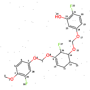 COc1ccc(OCOC2=CCC(C)C(OCOc3ccc(F)c(O)c3)C2F)cc1F